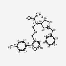 O=C(N(CCCc1cnoc1-c1ccc(F)cc1)C1CCN(Cc2ccccc2)C1)C(F)(F)F